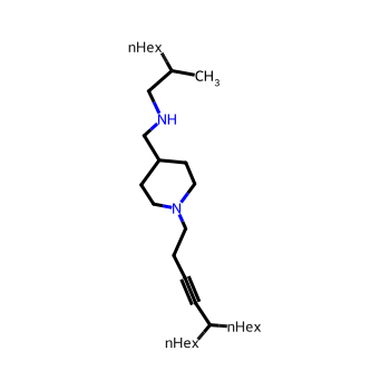 CCCCCCC(C)CNCC1CCN(CCC#CC(CCCCCC)CCCCCC)CC1